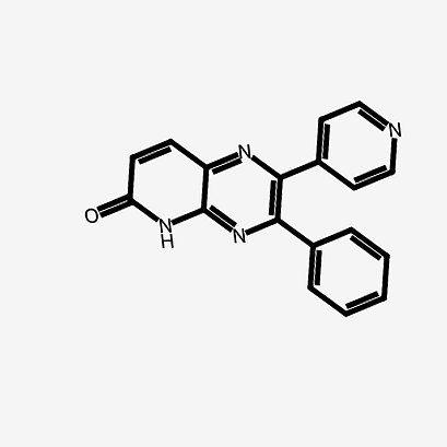 O=c1ccc2nc(-c3ccncc3)c(-c3ccccc3)nc2[nH]1